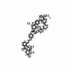 CN1CCN([C@@H]2CCCN(c3cnc(C(N)=O)c(Nc4ccc(C5(C)CCN(C(=O)CN6CCN(CCCc7cccc8c7C(O)N(C7CCC(=O)NC7=O)C8=O)CC6)CC5)cc4)n3)C2)C1O